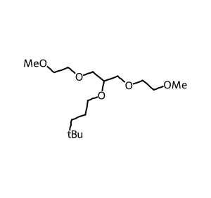 COCCOCC(COCCOC)OCCCC(C)(C)C